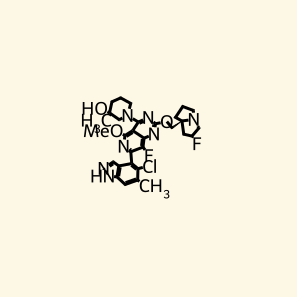 COc1nc(-c2c(Cl)c(C)cc3[nH]ncc23)c(F)c2nc(OC[C@@]34CCCN3C[C@H](F)C4)nc(N3CCC[C@@](C)(O)C3)c12